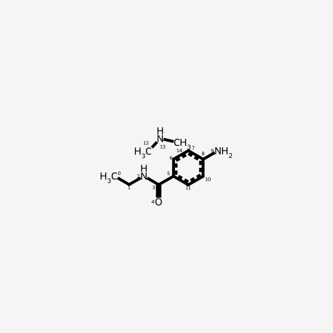 CCNC(=O)c1ccc(N)cc1.CNC